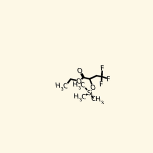 CCOC(=O)C(CC(F)(F)F)O[Si](C)(C)C